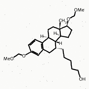 COCOc1ccc2c(c1)C[C@@H](CCCCCO)[C@@H]1[C@@H]2CC[C@]2(C)[C@@H](OCOC)CC[C@@H]12